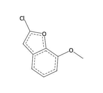 COc1cccc2cc(Cl)oc12